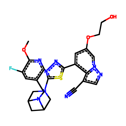 COc1ncc(CN2C3CC2CN(c2nnc(-c4cc(OCCO)cn5ncc(C#N)c45)s2)C3)cc1F